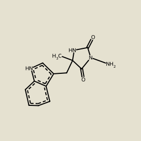 CC1(Cc2c[nH]c3ccccc23)NC(=O)N(N)C1=O